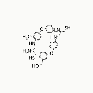 Cc1cc(Oc2ccccc2)ccc1NC[C@@H](N)CS.N[C@@H](CS)CNc1ccc(Oc2cccc(CO)c2)cc1